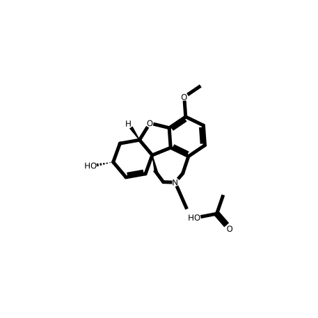 CC(=O)O.COc1ccc2c3c1O[C@H]1C[C@@H](O)C=C[C@@]31CCN(C)C2